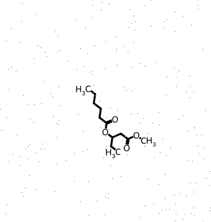 CCCCCC(=O)OC(CC)CC(=O)OC